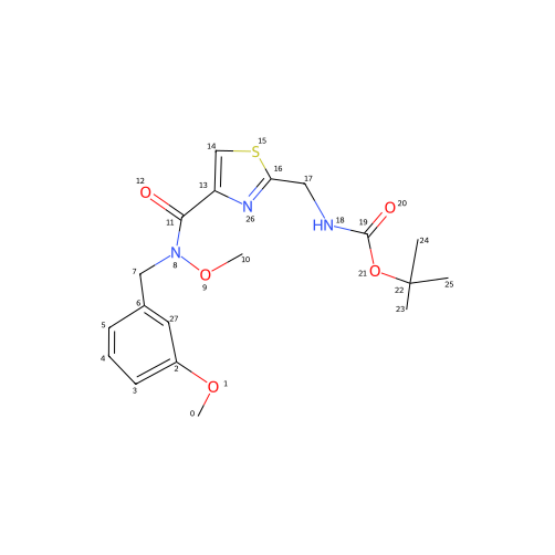 COc1cccc(CN(OC)C(=O)c2csc(CNC(=O)OC(C)(C)C)n2)c1